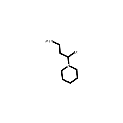 CCC(CCNC)N1CCCCC1